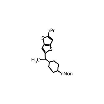 CCCCCCCCCC1CCC(C(C)c2cc3sc(CCC)cc3s2)CC1